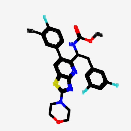 CC(C)(C)OC(=O)NC(Cc1cc(F)cc(F)c1)c1nc2nc(N3CCOCC3)sc2cc1-c1ccc(F)c(C#N)c1